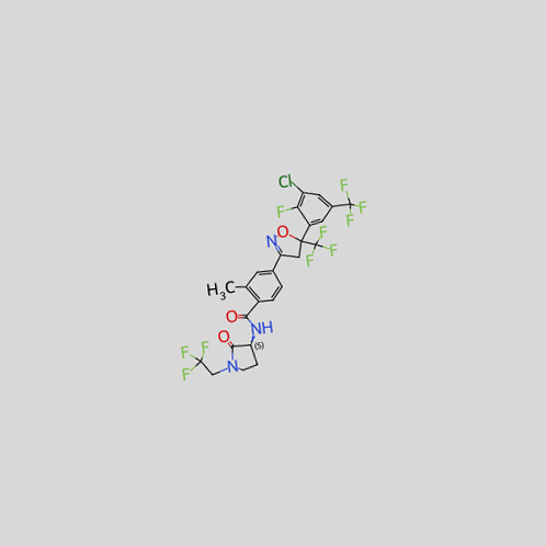 Cc1cc(C2=NOC(c3cc(C(F)(F)F)cc(Cl)c3F)(C(F)(F)F)C2)ccc1C(=O)N[C@H]1CCN(CC(F)(F)F)C1=O